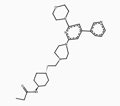 CCC(=O)N[C@H]1CC[C@H](CCN2CCN(c3cc(-c4cccnc4)cc(N4CCOCC4)n3)CC2)CC1